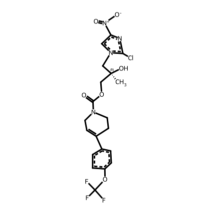 C[C@](O)(COC(=O)N1CC=C(c2ccc(OC(F)(F)F)cc2)CC1)Cn1cc([N+](=O)[O-])nc1Cl